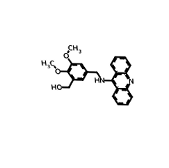 COc1cc(CNc2c3ccccc3nc3ccccc23)cc(CO)c1OC